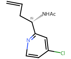 C=CC[C@H](NC(C)=O)c1cc(Cl)ccn1